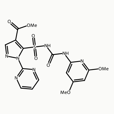 COC(=O)c1cnn(-c2ncccn2)c1S(=O)(=O)NC(=O)Nc1cc(OC)cc(OC)n1